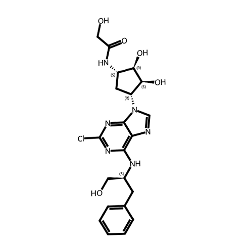 O=C(CO)N[C@H]1C[C@@H](n2cnc3c(N[C@H](CO)Cc4ccccc4)nc(Cl)nc32)[C@H](O)[C@@H]1O